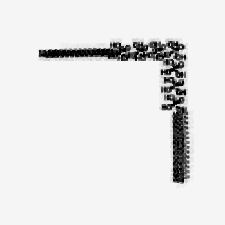 O=P(O)(O)O.O=P(O)(O)O.O=P(O)(O)O.O=P(O)(O)O.O=P(O)(O)O.O=P(O)(O)O.O=P(O)(O)O.[Mg+2].[Mg+2].[Mg+2].[Mg+2].[Mg+2].[Mg+2].[Mg+2].[Mg+2].[Mg+2].[Mg+2].[Mg+2].[Mg+2].[Mg+2].[Mg+2].[Mg+2].[Mg+2].[Mg+2].[Mg+2].[Mg+2].[Mg+2].[Mg+2].[Mg+2].[Mg+2].[Mg+2].[Mg+2].[Mg+2].[Mg+2].[Mg+2].[Mg+2]